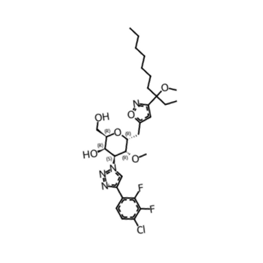 CCCCCCCC(CC)(OC)c1cc(C[C@H]2O[C@H](CO)[C@H](O)[C@H](n3cc(-c4ccc(Cl)c(F)c4F)nn3)[C@H]2OC)on1